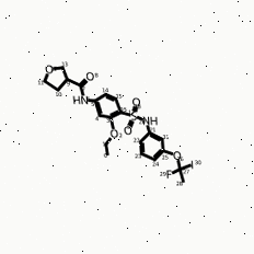 CCOc1cc(NC(=O)C2CCOC2)ccc1S(=O)(=O)Nc1cccc(OC(C)(F)I)c1